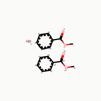 Br.COC(=O)c1ccccc1.COC(=O)c1ccccc1